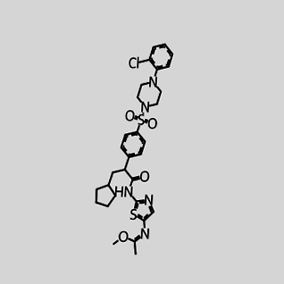 COC(C)=Nc1cnc(NC(=O)C(CC2CCCC2)c2ccc(S(=O)(=O)N3CCN(c4ccccc4Cl)CC3)cc2)s1